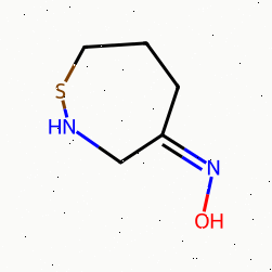 O/N=C1/CCCSNC1